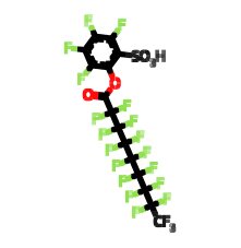 O=C(Oc1c(F)c(F)c(F)c(F)c1S(=O)(=O)O)C(F)(F)C(F)(F)C(F)(F)C(F)(F)C(F)(F)C(F)(F)C(F)(F)C(F)(F)F